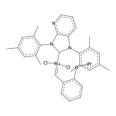 Cc1cc(C)c(N2c3cccnc3N(c3c(C)cc(C)cc3C)[CH]2[Ru]([Cl])([Cl])=[CH]c2ccccc2OC(C)C)c(C)c1